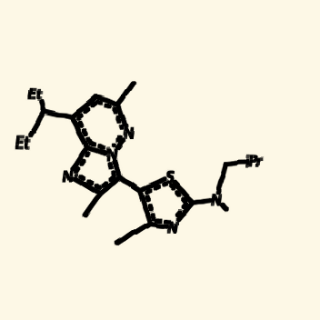 CCC(CC)c1cc(C)nn2c(-c3sc(N(C)CC(C)C)nc3C)c(C)nc12